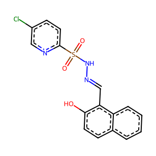 O=S(=O)(NN=Cc1c(O)ccc2ccccc12)c1ccc(Cl)cn1